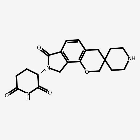 O=C1CC[C@H](N2Cc3c(ccc4c3OCC3(CCNCC3)C4)C2=O)C(=O)N1